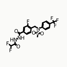 CS(=O)(=O)N(Cc1ccc(C(=O)NNC(=O)C(F)F)cc1F)c1ccc(C(F)(F)F)cc1